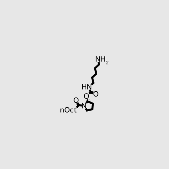 CCCCCCCCC(=O)N1CCC[C@H]1OC(=O)NCCCCCN